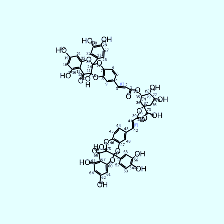 O=C(/C=C/c1ccc2c(c1)OC1(O)C(=O)c3c(O)cc(O)cc3OC1(c1ccc(O)c(O)c1)O2)O[C@@H]1C[C@@](OC(=O)/C=C/c2ccc3c(c2)OC2(c4ccc(O)c(O)c4)Oc4cc(O)cc(O)c4C(=O)C2(O)O3)(C(=O)O)C[C@@H](O)[C@@H]1O